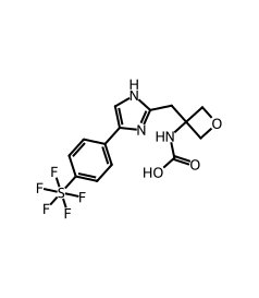 O=C(O)NC1(Cc2nc(-c3ccc(S(F)(F)(F)(F)F)cc3)c[nH]2)COC1